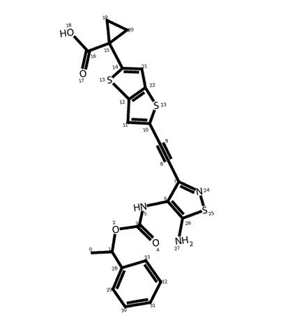 CC(OC(=O)Nc1c(C#Cc2cc3sc(C4(C(=O)O)CC4)cc3s2)nsc1N)c1ccccc1